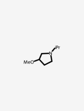 COC1CCN(C(C)C)C1